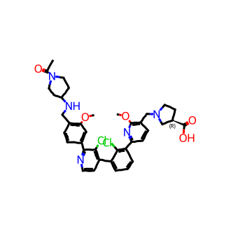 COc1cc(-c2nccc(-c3cccc(-c4ccc(CN5CC[C@@H](C(=O)O)C5)c(OC)n4)c3Cl)c2Cl)ccc1CNC1CCN(C(C)=O)CC1